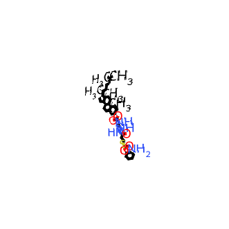 CC(C)CCC[C@@H](C)[C@H]1CCC2C3CC=C4C[C@@H](OC(=O)NCNNC(=O)CCSC(=O)O[C@@H]5CCCC[C@H]5N)CC[C@]4(C)C3CC[C@@]21C